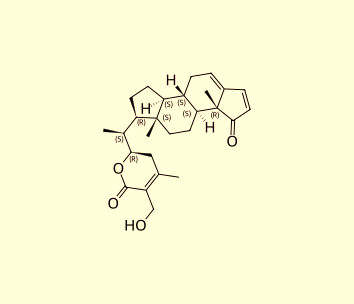 CC1=C(CO)C(=O)O[C@@H]([C@@H](C)[C@H]2CC[C@H]3[C@@H]4CC=C5C=CC(=O)[C@]5(C)[C@H]4CC[C@]23C)C1